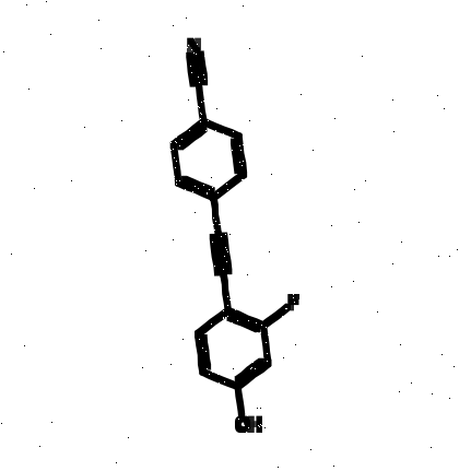 N#Cc1ccc(C#Cc2ccc(O)cc2F)cc1